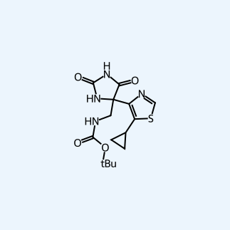 CC(C)(C)OC(=O)NCC1(c2ncsc2C2CC2)NC(=O)NC1=O